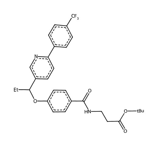 CCC(Oc1ccc(C(=O)NCCC(=O)OC(C)(C)C)cc1)c1ccc(-c2ccc(C(F)(F)F)cc2)nc1